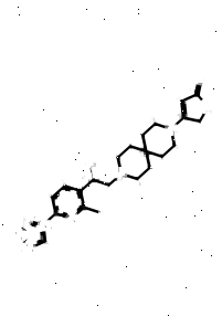 Cc1nc(-n2cnnn2)ccc1[C@@H](O)CN1CCC2(CC1)CCN(C1=CC(=O)OC1)CC2